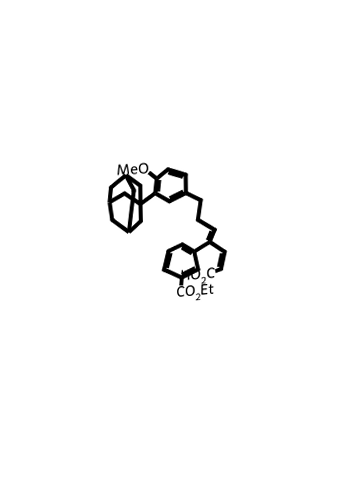 CCOC(=O)c1cccc(C(/C=C\C(=O)O)=C\CCc2ccc(OC)c(C34CC5CC(CC(C5)C3)C4)c2)c1